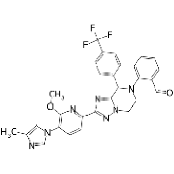 COc1nc(-c2nc3n(n2)CCN(c2ccccc2C=O)C3c2ccc(C(F)(F)F)cc2)ccc1-n1cnc(C)c1